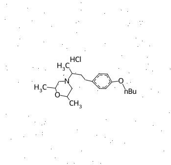 CCCCOc1ccc(CCC(C)N2CC(C)OC(C)C2)cc1.Cl